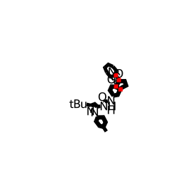 Cc1ccc(-n2nc(C(C)(C)C)cc2NC(=O)Nc2ccc(CC3CC4CCC(C3)N4S(=O)(=O)c3cccs3)cc2)cc1